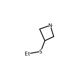 CCSC1C[N]C1